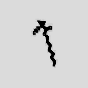 [C-]#[N+]C1(C(=O)OCCCCCCCC)CC1